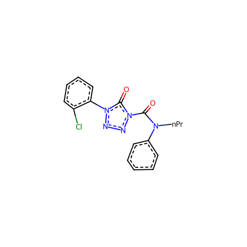 CCCN(C(=O)n1nnn(-c2ccccc2Cl)c1=O)c1ccccc1